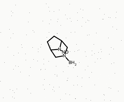 BN1CC2CCC(C1)N2N=O